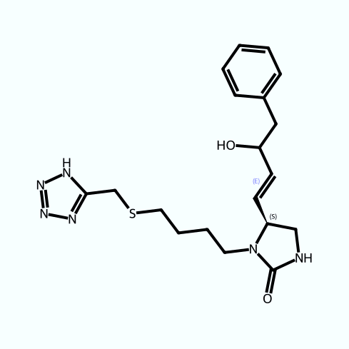 O=C1NC[C@H](/C=C/C(O)Cc2ccccc2)N1CCCCSCc1nnn[nH]1